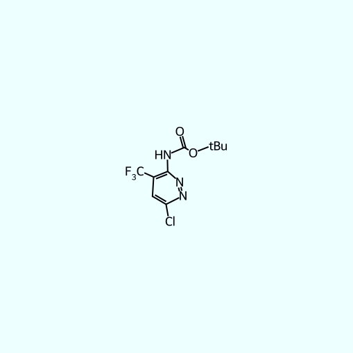 CC(C)(C)OC(=O)Nc1nnc(Cl)cc1C(F)(F)F